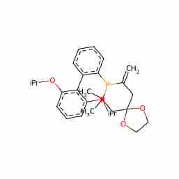 C=C1CC2(CC(C)(C)P1c1ccccc1-c1c(OC(C)C)cccc1OC(C)C)OCCO2